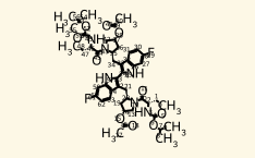 CC[C@H](NC(=O)OC(C)C)C(=O)N1C[C@@H](OC(C)=O)C[C@H]1Cc1c(-c2[nH]c3cc(F)ccc3c2C[C@@H]2C[C@H](OC(C)=O)CN2C(=O)[C@H](CC)NC(=O)OC(C)(C)C)[nH]c2cc(F)ccc12